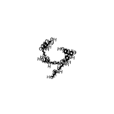 O=C(O)CCC(NC(=O)NC(CCCCNC(=O)C(CO)NC(=O)NCCOCCNC(=O)C(CCCCNC(=O)CCCO)NC(=O)Nc1ccc(-c2c3ccc(=O)cc-3oc3cc(O)ccc23)c(O)c1)C(=O)O)C(=O)O